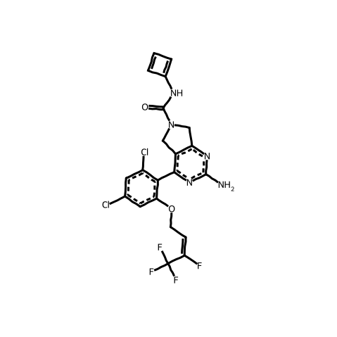 Nc1nc2c(c(-c3c(Cl)cc(Cl)cc3OC/C=C(/F)C(F)(F)F)n1)CN(C(=O)NC1=CC=C1)C2